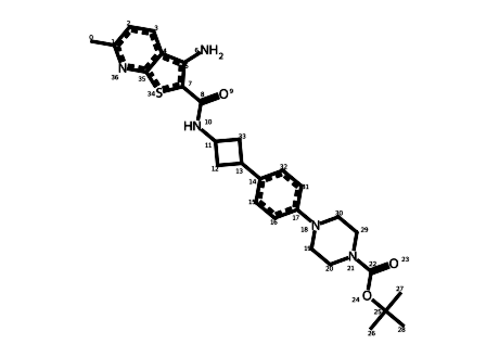 Cc1ccc2c(N)c(C(=O)NC3CC(c4ccc(N5CCN(C(=O)OC(C)(C)C)CC5)cc4)C3)sc2n1